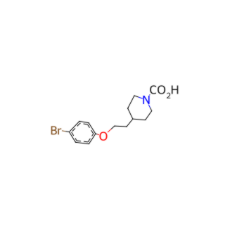 O=C(O)N1CCC(CCOc2ccc(Br)cc2)CC1